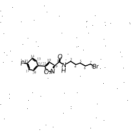 O=C(NCCCCCBr)c1cc(-c2ccc(F)cc2)on1